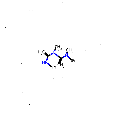 C=C(NC(C)C)N(C)C(=C)N(C)C(C)C